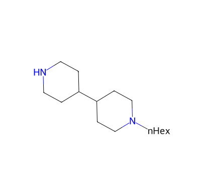 CCCCCCN1CCC(C2CCNCC2)CC1